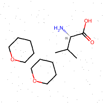 C1CCOCC1.C1CCOCC1.CC(C)[C@H](N)C(=O)O